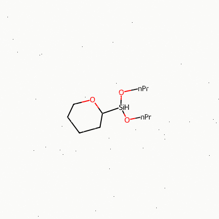 CCCO[SiH](OCCC)C1CCCCO1